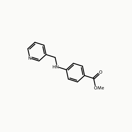 COC(=O)c1ccc(NCc2cccnc2)cc1